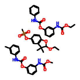 CCOC(=O)Nc1cccc(OC(=O)Nc2ccccc2)c1.CCOC1Oc2ccc(OS(C)(=O)=O)cc2C1(C)C.COC(=O)Nc1cccc(OC(=O)Nc2cccc(C)c2)c1